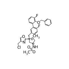 C[C@@H]1C[C@@H](NS(C)(=O)=O)C[C@]1(Cc1ccc(F)c(-c2cccc(F)c2OCc2ccccc2)c1)c1nc(CCl)co1